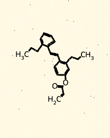 C=CC(=O)Oc1ccc(/C=C/c2ccccc2CCC)c(CCC)c1